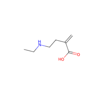 C=C(CCNCC)C(=O)O